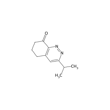 CC(C)c1cc2c(nn1)C(=O)CCC2